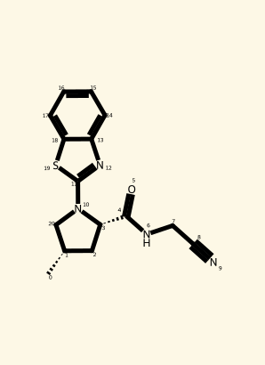 C[C@H]1C[C@@H](C(=O)NCC#N)N(c2nc3ccccc3s2)C1